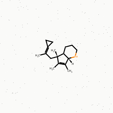 CC(C[C@@]1(C)C(C)=C(C)[C@H]2PCCCC21)=C1CC1